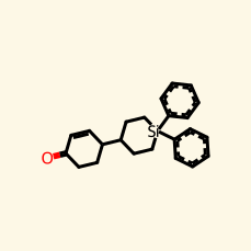 O=C1C=CC(C2CC[Si](c3ccccc3)(c3ccccc3)CC2)CC1